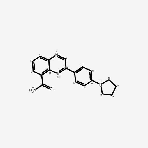 NC(=O)c1cccc2ncc(-c3ccc(N4CCCC4)cc3)nc12